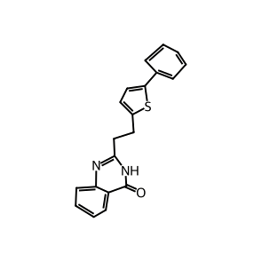 O=c1[nH]c(CCc2ccc(-c3ccccc3)s2)nc2ccccc12